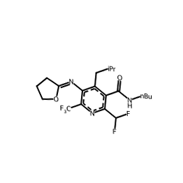 CCCCNC(=O)c1c(C(F)F)nc(C(F)(F)F)c(/N=C2/CCCO2)c1CC(C)C